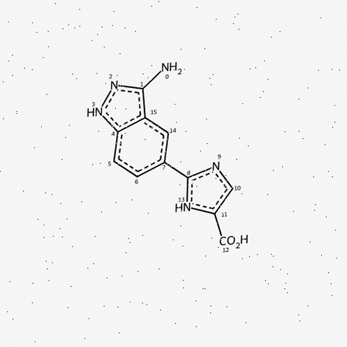 Nc1n[nH]c2ccc(-c3ncc(C(=O)O)[nH]3)cc12